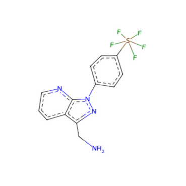 NCc1nn(-c2ccc(S(F)(F)(F)(F)F)cc2)c2ncccc12